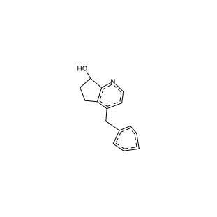 OC1CCc2c(Cc3ccccc3)ccnc21